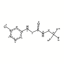 O=C(CNc1cnnc(Cl)c1)NCC(F)(F)F